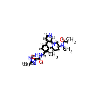 C=CC(=O)N(C)C1CCCN(c2cnccc2-c2ccc(CNC(=O)c3nc(C(C)(C)C)no3)c(C)c2)C1